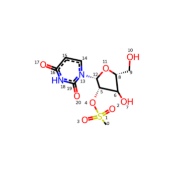 CS(=O)(=O)O[C@H]1C(O)[C@@H](CO)O[C@H]1n1ccc(=O)[nH]c1=O